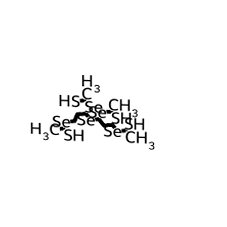 CC(S)[Se]CCC([Se]C(C)S)[Se]C(CC[Se]C(C)S)[Se]C(C)S